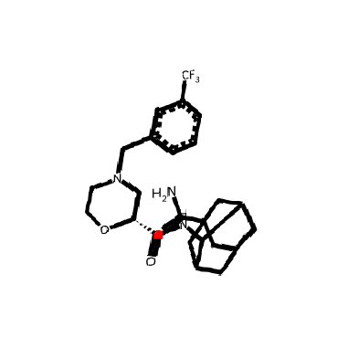 NC(=O)C12CC3CC(C1)C(NC(=O)[C@H]1CN(Cc4cccc(C(F)(F)F)c4)CCO1)C(C3)C2